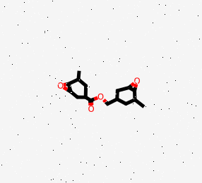 CC1CC(COC(=O)C2CC(C)C3OC3C2)CC2OC12